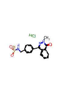 Cl.Cn1nc(-c2ccc(CN[SH](=O)=O)cc2)c2ccccc2c1=O